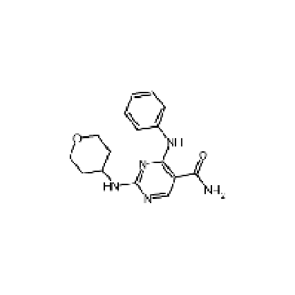 NC(=O)c1cnc(NC2CCOCC2)nc1Nc1ccccc1